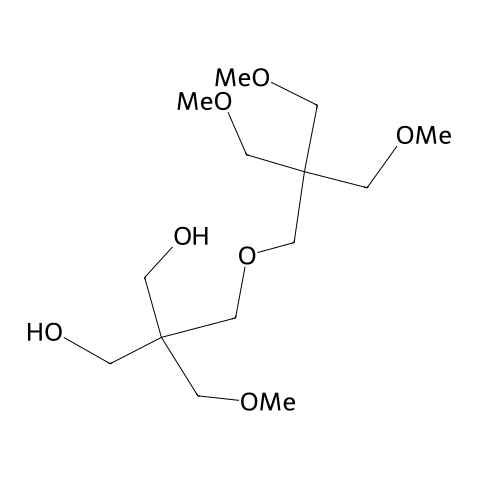 COCC(CO)(CO)COCC(COC)(COC)COC